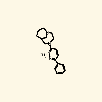 [CH2].c1ccc(-c2ccc(N3CCN4CCCC(C4)C3)nn2)cc1